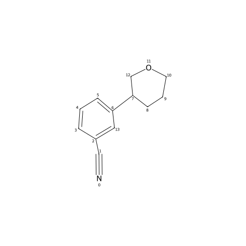 N#Cc1cccc(C2CCCOC2)c1